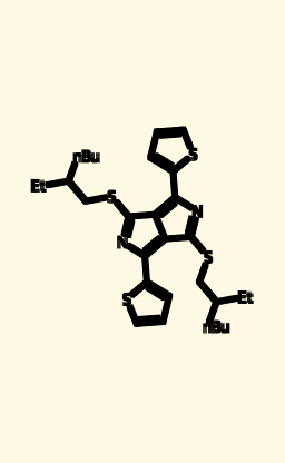 CCCCC(CC)CSC1=NC(c2cccs2)=C2C(SCC(CC)CCCC)=NC(c3cccs3)=C12